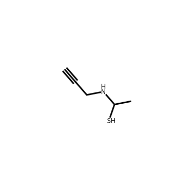 C#CCNC(C)S